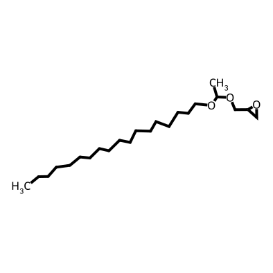 CCCCCCCCCCCCCCCCCCOC(C)OCC1CO1